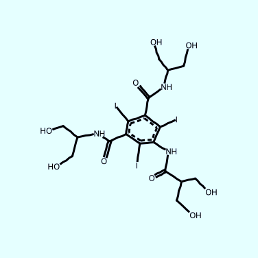 O=C(NC(CO)CO)c1c(I)c(NC(=O)C(CO)CO)c(I)c(C(=O)NC(CO)CO)c1I